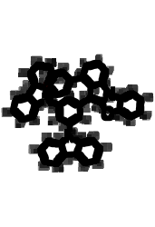 c1ccc(-c2cccc3c2c(-c2cc(-n4c5ccccc5c5ccccc54)cc(-n4c5ccccc5c5ccccc54)c2)c2oc4ccccc4n23)cc1